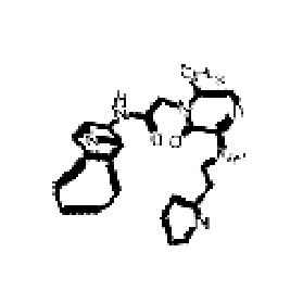 Cc1cnc(NCCc2ccccn2)c(=O)n1CC(=O)NC1C2=Cc3ccccc3C1=N2